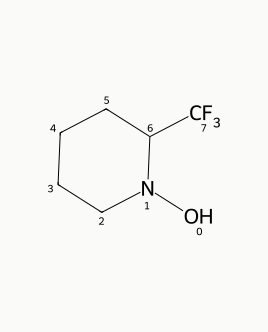 ON1CCCCC1C(F)(F)F